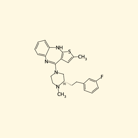 Cc1cc2c(s1)Nc1ccccc1N=C2N1CCN(C)[C@@H](CCc2cccc(F)c2)C1